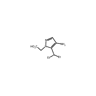 CCN(CC)c1c(N)cnn1CC(=O)O